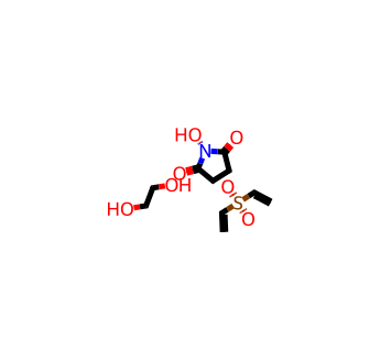 C=CS(=O)(=O)C=C.O=C1CCC(=O)N1O.OCCO